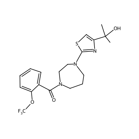 CC(C)(O)c1csc(N2CCCN(C(=O)c3ccccc3OC(F)(F)F)CC2)n1